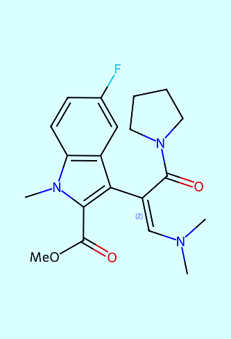 COC(=O)c1c(/C(=C/N(C)C)C(=O)N2CCCC2)c2cc(F)ccc2n1C